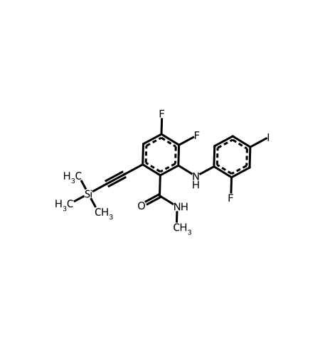 CNC(=O)c1c(C#C[Si](C)(C)C)cc(F)c(F)c1Nc1ccc(I)cc1F